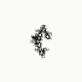 COc1nc(Cl)nc(Nc2ccc(C=Cc3ccc(Nc4nc(Nc5ccccc5)nc(OC)n4)cc3S(=O)(=O)O)c(S(=O)(=O)O)c2)n1.[Na].[Na]